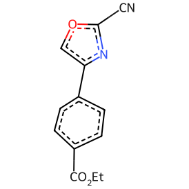 CCOC(=O)c1ccc(-c2coc(C#N)n2)cc1